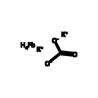 O=C([O-])[O-].[K+].[K+].[PbH4]